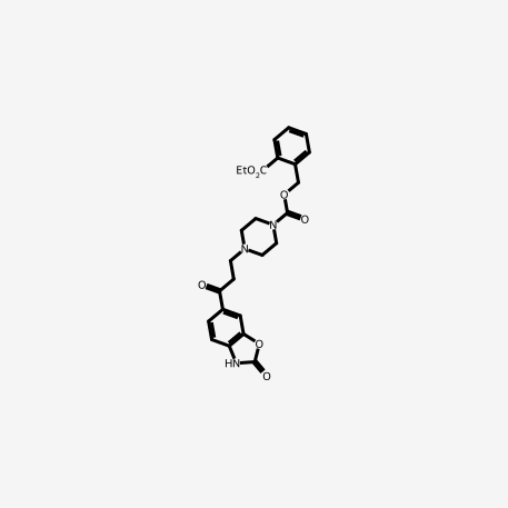 CCOC(=O)c1ccccc1COC(=O)N1CCN(CCC(=O)c2ccc3[nH]c(=O)oc3c2)CC1